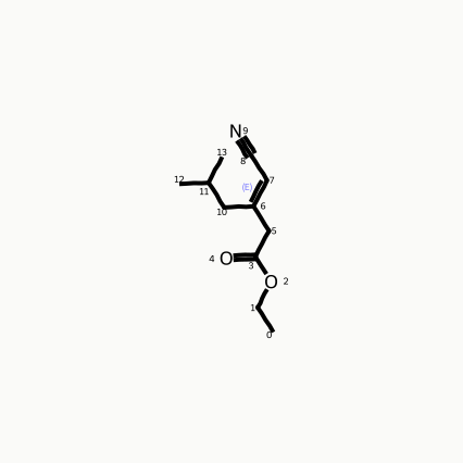 CCOC(=O)C/C(=C/C#N)CC(C)C